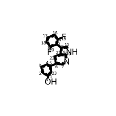 Oc1cccc(-c2cnc3[nH]cc(-c4c(F)cccc4F)c3c2)c1